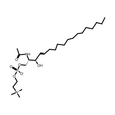 CCCCCCCCCCCCC/C=C/[C@@H](O)[C@H](COP(=O)([O-])OCC[N+](C)(C)C)NC(C)=O